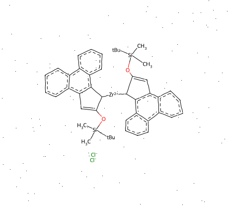 CC(C)(C)[Si](C)(C)OC1=Cc2c(c3ccccc3c3ccccc23)[CH]1[Zr+2][CH]1C(O[Si](C)(C)C(C)(C)C)=Cc2c1c1ccccc1c1ccccc21.[Cl-].[Cl-]